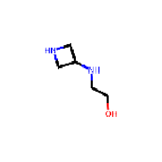 OCCNC1CNC1